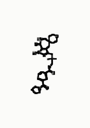 CCn1nc(CC(C)(C)COC(=O)c2cccc(C(=O)N3CCCC3)c2)c2c1C(=O)NCC1(CCOCC1)C2